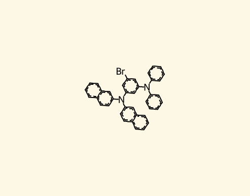 Brc1cc(N(c2ccccc2)c2ccccc2)cc(N(c2ccc3ccccc3c2)c2ccc3ccccc3c2)c1